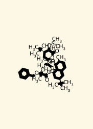 C[C@H]1C=CC2=C[C@@H](C(C)(C)C)C[C@H](OC(=O)C(C)(C)OCc3ccccc3)[C@@H]2[C@@]1(CC[C@@H]1C[C@H](C(C)(C)C)C(O[SiH](C)C)C(=O)O1)O[SiH](C)C